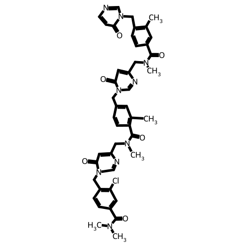 Cc1cc(C(=O)N(C)Cc2cc(=O)n(Cc3ccc(C(=O)N(C)Cc4cc(=O)n(Cc5ccc(C(=O)N(C)C)cc5Cl)cn4)c(C)c3)cn2)ccc1Cn1cnccc1=O